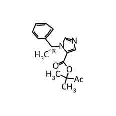 CC(=O)C(C)(C)OC(=O)c1cncn1[C@H](C)c1ccccc1